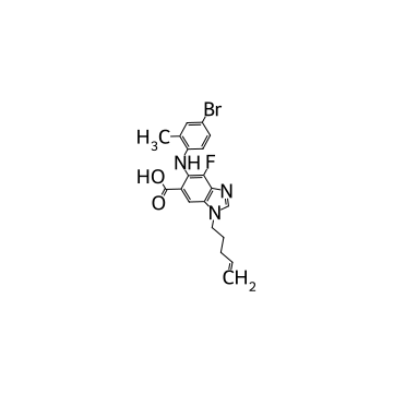 C=CCCCn1cnc2c(F)c(Nc3ccc(Br)cc3C)c(C(=O)O)cc21